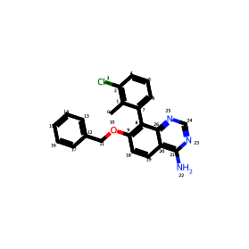 Cc1c(Cl)cccc1-c1c(OCc2ccccc2)ccc2c(N)ncnc12